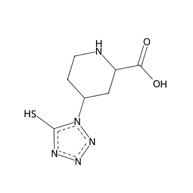 O=C(O)C1CC(n2nnnc2S)CCN1